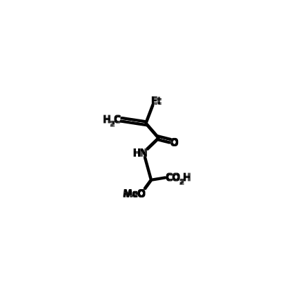 C=C(CC)C(=O)NC(OC)C(=O)O